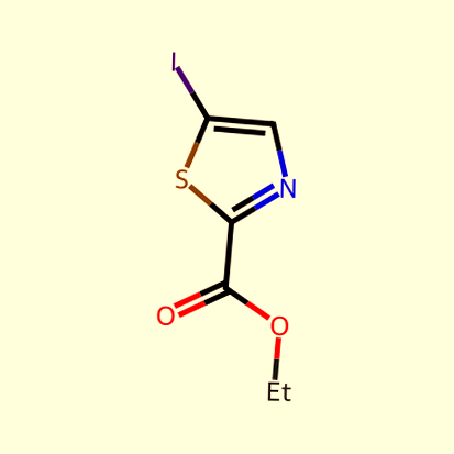 CCOC(=O)c1ncc(I)s1